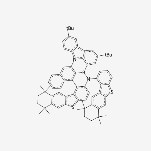 CC(C)(C)c1ccc2c(c1)c1cc(C(C)(C)C)cc3c1n2-c1cc2ccccc2c2c1B3N(c1cccc3sc4cc5c(cc4c13)C(C)(C)CCC5(C)C)c1ccc3sc4cc5c(cc4c3c1-2)C(C)(C)CCC5(C)C